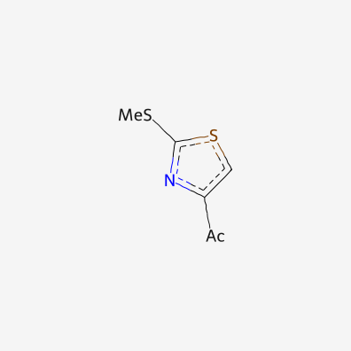 CSc1nc(C(C)=O)cs1